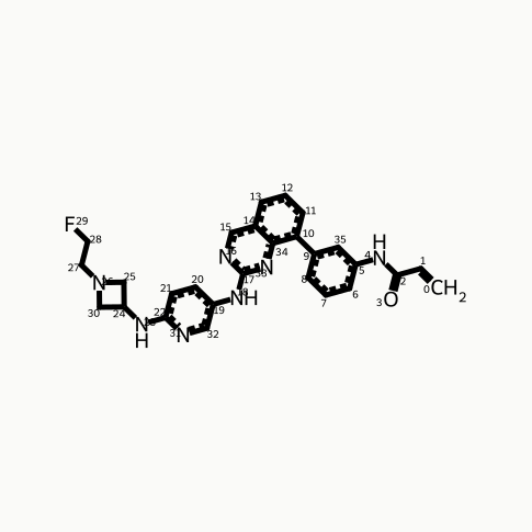 C=CC(=O)Nc1cccc(-c2cccc3cnc(Nc4ccc(NC5CN(CCF)C5)nc4)nc23)c1